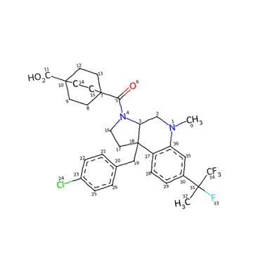 CN1CC2N(C(=O)C34CCC(C(=O)O)(CC3)CC4)CCC2(Cc2ccc(Cl)cc2)c2ccc(C(C)(F)C(F)(F)F)cc21